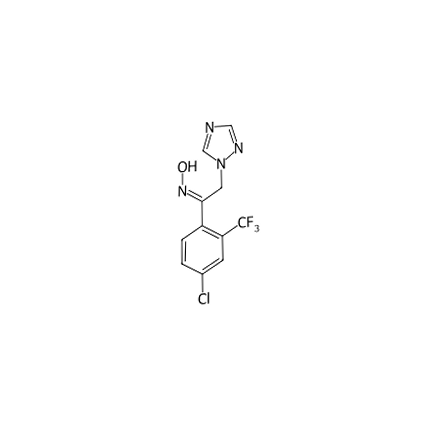 ON=C(Cn1cncn1)c1ccc(Cl)cc1C(F)(F)F